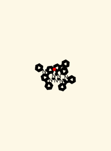 c1ccc(-c2cccc(-c3nc(-n4c5ccccc5c5ccc6c(c7ccccc7n6-c6ccccc6)c54)nc(-n4c5ccccc5c5c6ccccc6n(-c6ccccc6)c54)n3)c2)cc1